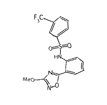 COc1noc(-c2ccccc2NS(=O)(=O)c2cccc(C(F)(F)F)c2)n1